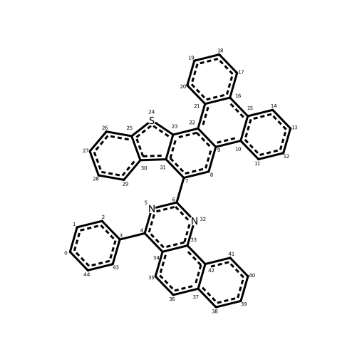 c1ccc(-c2nc(-c3cc4c5ccccc5c5ccccc5c4c4sc5ccccc5c34)nc3c2ccc2ccccc23)cc1